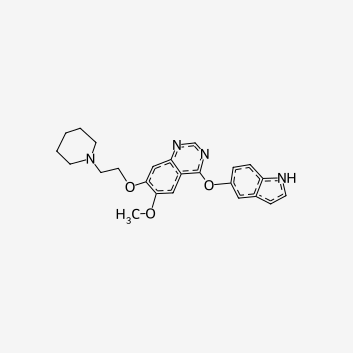 COc1cc2c(Oc3ccc4[nH]ccc4c3)ncnc2cc1OCCN1CCCCC1